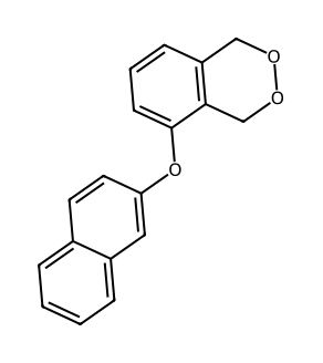 c1cc2c(c(Oc3ccc4ccccc4c3)c1)COOC2